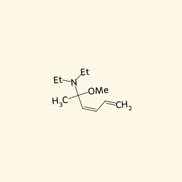 C=C/C=C\C(C)(OC)N(CC)CC